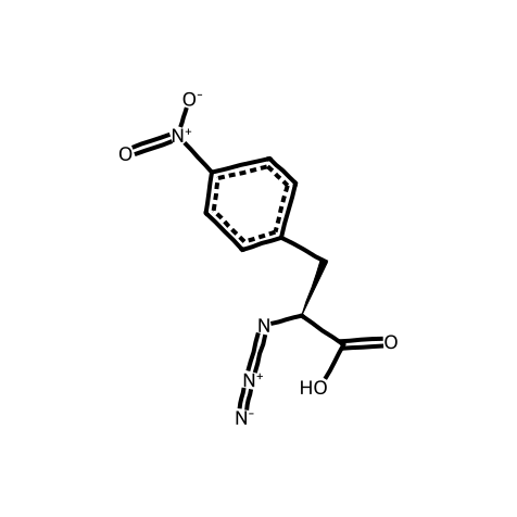 [N-]=[N+]=N[C@@H](Cc1ccc([N+](=O)[O-])cc1)C(=O)O